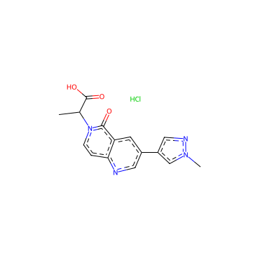 CC(C(=O)O)n1ccc2ncc(-c3cnn(C)c3)cc2c1=O.Cl